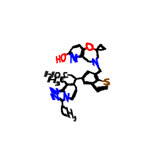 Cc1c(C(CC(=O)O)c2cc(CN3Cc4nc(O)ccc4OC4(CC4)C3)c3sccc3c2)ccn2c(C)nnc12